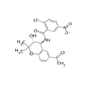 CC(=O)c1ccc2c(c1)[C@H](NC(=O)c1cc([N+](=O)[O-])ccc1Cl)[C@@H](O)C(C)(C)O2